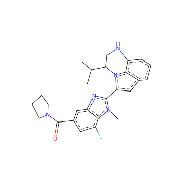 CC(C)C1CNc2cccc3cc(-c4nc5cc(C(=O)N6CCCC6)cc(F)c5n4C)n1c23